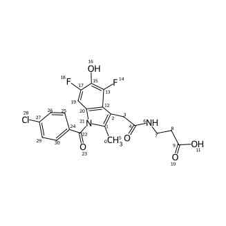 Cc1c(CC(=O)NCCC(=O)O)c2c(F)c(O)c(F)cc2n1C(=O)c1ccc(Cl)cc1